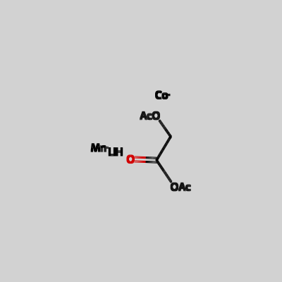 CC(=O)OCC(=O)OC(C)=O.[Co].[LiH].[Mn]